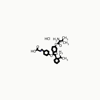 CC(C)c1ccccc1-c1sc2cc(OC(=O)[C@@H](N)C(C)C)ccc2c1Oc1ccc(/C=C/C(=O)O)cc1.Cl